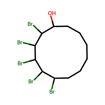 OC1CCCCCCC(Br)C(Br)C(Br)C(Br)C1Br